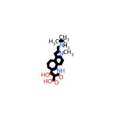 Cn1c(CNC(C)(C)C)cc2c3c(ccc21)-c1[nH]c(=O)c(C(=O)O)c(O)c1CCC3